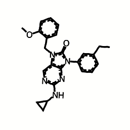 CCc1cccc(-n2c(=O)n(Cc3ccccc3OC)c3cnc(NC4CC4)nc32)c1